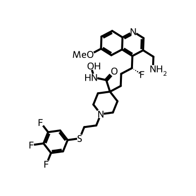 COc1ccc2ncc(CN)c([C@H](F)CCC3(C(=O)NO)CCN(CCSc4cc(F)c(F)c(F)c4)CC3)c2c1